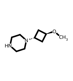 CO[C@H]1C[C@H](N2CCNCC2)C1